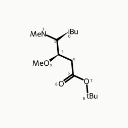 CC[C@H](C)C(NC)[C@@H](CC(=O)OC(C)(C)C)OC